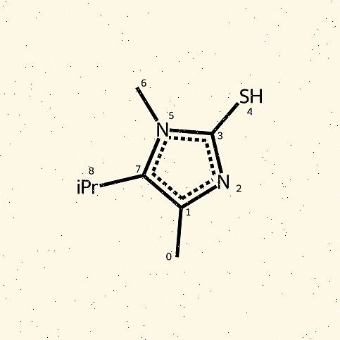 Cc1nc(S)n(C)c1C(C)C